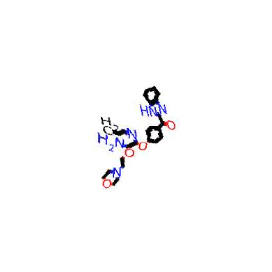 C=C/C=N\C(Oc1ccc(C(=O)c2nc3ccccc3[nH]2)cc1)=C(/N)OCCN1CCOCC1